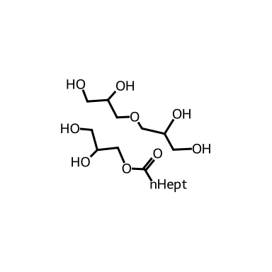 CCCCCCCC(=O)OCC(O)CO.OCC(O)COCC(O)CO